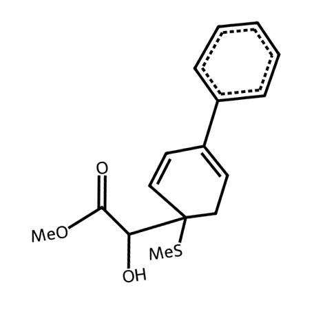 COC(=O)C(O)C1(SC)C=CC(c2ccccc2)=CC1